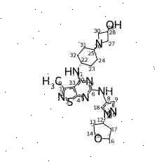 Cc1nsc2nc(Nc3cnn(C4CCOCC4)c3)nc(N[C@H]3CC[C@H](N4CC(O)C4)CC3)c12